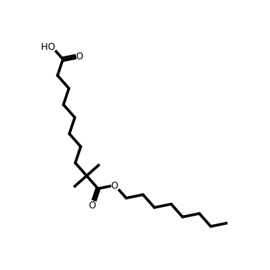 CCCCCCCCOC(=O)C(C)(C)CCCCCCCC(=O)O